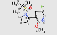 COc1ncc(F)cc1[C@H]1CCCN1[S@+]([O-])C(C)(C)C